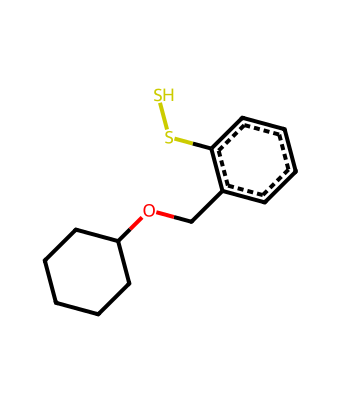 SSc1ccccc1COC1CCCCC1